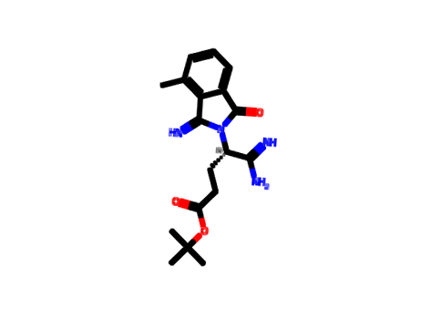 Cc1cccc2c1C(=N)N([C@@H](CCC(=O)OC(C)(C)C)C(=N)N)C2=O